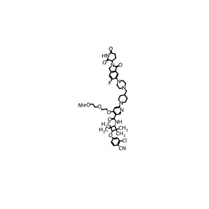 COCCOCCOc1cc(N2CCC(CN3CCN(c4cc5c(cc4F)CN(C4CCC(=O)NC4=O)C5=O)CC3)CC2)ncc1C(=O)N[C@H]1C(C)(C)[C@H](Oc2ccc(C#N)c(Cl)c2)C1(C)C